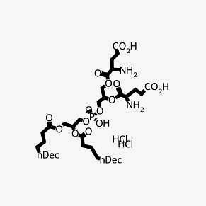 CCCCCCCCCCCCCC(=O)OCC(COP(=O)(O)OCC(COC(=O)C(N)CCC(=O)O)OC(=O)C(N)CCC(=O)O)OC(=O)CCCCCCCCCCCCC.Cl.Cl